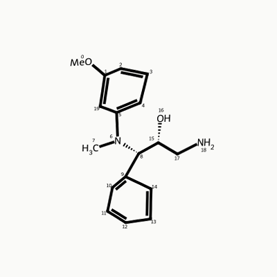 COc1cccc(N(C)[C@@H](c2ccccc2)[C@H](O)CN)c1